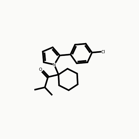 CC(C)C(=O)C1(n2cccc2-c2ccc(Cl)cc2)CCCCC1